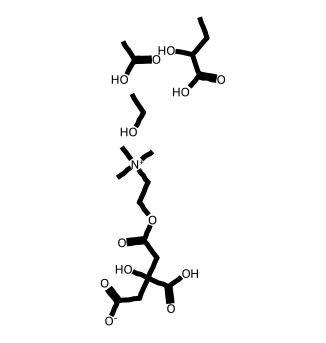 CC(=O)O.CCC(O)C(=O)O.CCO.C[N+](C)(C)CCOC(=O)CC(O)(CC(=O)[O-])C(=O)O